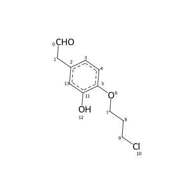 O=CCc1ccc(OCCCCl)c(O)c1